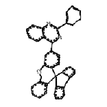 C1=CCCC(c2nc(-c3ccc4c(c3)Oc3ccccc3C43c4ccccc4-c4ccccc43)c3ccccc3n2)=C1